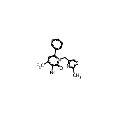 [C-]#[N+]c1c(C(F)(F)F)cc(-c2ccccc2)n(Cc2csc(C)n2)c1=O